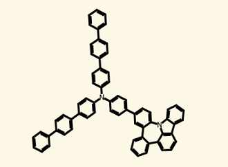 c1ccc(-c2ccc(-c3ccc(N(c4ccc(-c5ccc(-c6ccccc6)cc5)cc4)c4ccc(-c5ccc6c(c5)-c5ccccc5-c5cccc7c8ccccc8n-6c57)cc4)cc3)cc2)cc1